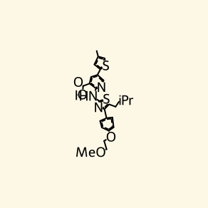 COCCOc1ccc(-c2nc(Nc3ncc(-c4cc(C)cs4)cc3C(=O)OI)sc2CC(C)C)cc1